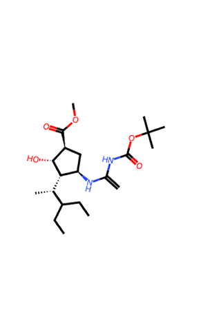 C=C(NC(=O)OC(C)(C)C)N[C@@H]1C[C@H](C(=O)OC)[C@@H](O)[C@H]1[C@@H](C)C(CC)CC